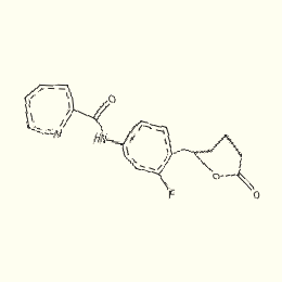 O=C1CCC(c2ccc(NC(=O)c3ccccn3)cc2F)O1